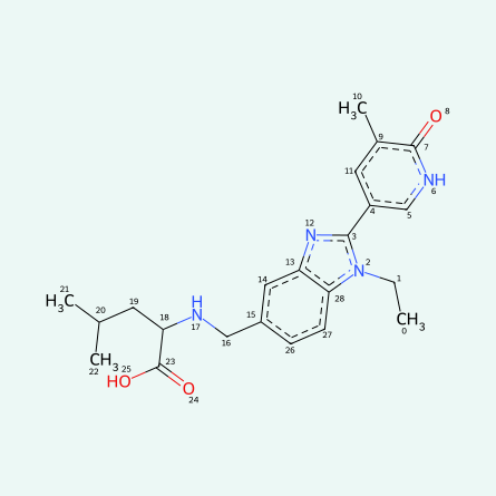 CCn1c(-c2c[nH]c(=O)c(C)c2)nc2cc(CNC(CC(C)C)C(=O)O)ccc21